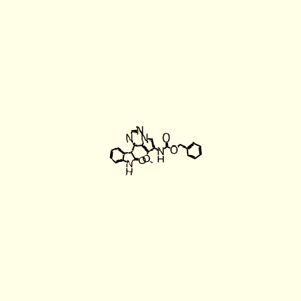 COc1c(NC(=O)OCc2ccccc2)cn2ncnc(C3C(=O)Nc4ccccc43)c12